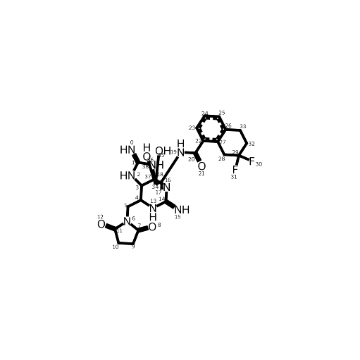 N=C1NC2C(CN3C(=O)CCC3=O)NC(=N)N3CC(NC(=O)c4cccc5c4CC(F)(F)CC5)C(O)(O)C23N1